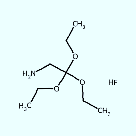 CCOC(CN)(OCC)OCC.F